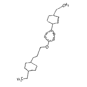 CCC1CCC(CCCOc2ccc(C3CCC(CC)CC3)cc2)CC1